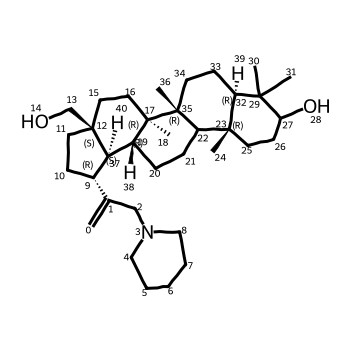 C=C(CN1CCCCC1)[C@@H]1CC[C@]2(CO)CC[C@]3(C)[C@H](CCC4[C@@]5(C)CCC(O)C(C)(C)[C@@H]5CC[C@]43C)[C@@H]12